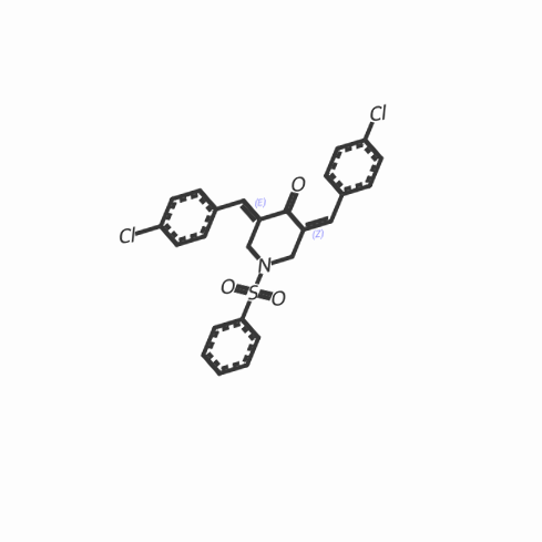 O=C1/C(=C\c2ccc(Cl)cc2)CN(S(=O)(=O)c2ccccc2)C/C1=C\c1ccc(Cl)cc1